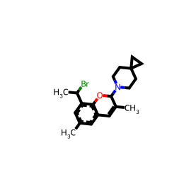 CC1=Cc2cc(C)cc(C(C)Br)c2OC1N1CCC2(CC1)CC2